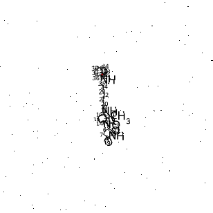 Cn1c(=O)n(C2CCC(=O)NC2=O)c2cccc(NCCCCCCCNC34CC5CC(CC(C5)C3)C4)c21